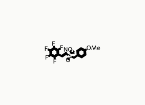 COc1ccc(CS(=O)(=O)C(=Cc2c(F)c(F)c(F)c(F)c2F)[N+](=O)[O-])cc1